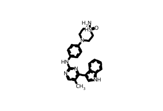 Cc1cnc(Nc2ccc(N3CC[SH](N)(=O)CC3)cc2)nc1-c1c[nH]c2ccccc12